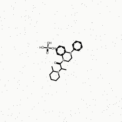 CC1CCCCN1C(C)C(=O)N1CCN(c2ccccc2)c2ccccc21.O=P(O)(O)O